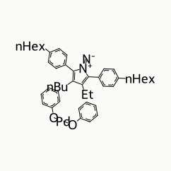 CCCCCCc1ccc(C2=C(CC)C(CCCC)=C(c3ccc(CCCCCC)cc3)[N+]2=[N-])cc1.c1ccc([O][Pd][O]c2ccccc2)cc1